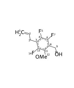 C=CCc1c(F)c(F)c(CO)c(OC)c1F